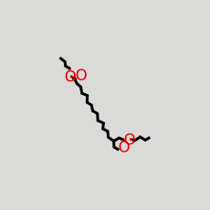 CCCCOC(=O)CCCCCCCCCCCCCC(CC)CC(=O)OCCCC